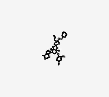 C=CCN(CC1(C)O[C@@H]2[C@H](O1)[C@@H](Oc1ccc(F)cc1C(C)=O)C[C@H]2n1ccc2c(C)ncnc21)C(=O)OCc1ccccc1